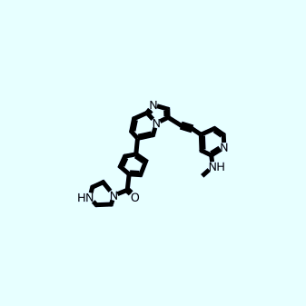 CNc1cc(C#Cc2cnc3ccc(-c4ccc(C(=O)N5CCNCC5)cc4)cn23)ccn1